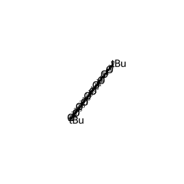 CC(C)(C)CCOCCOCCOCCOCCOCCOCCOCCOCCOCCOC(C)(C)C